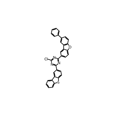 Clc1nc(-c2ccc3oc4ccc(-c5ccccc5)cc4c3c2)nc(-c2ccc3sc4ccccc4c3c2)n1